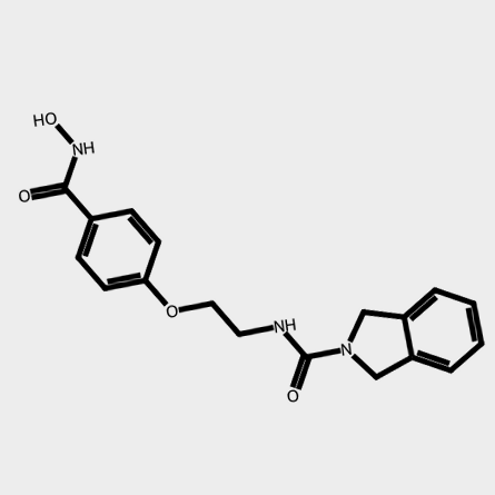 O=C(NO)c1ccc(OCCNC(=O)N2Cc3ccccc3C2)cc1